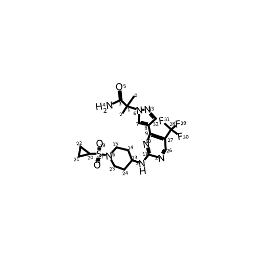 CC(C)(C(N)=O)n1cc(-c2nc(NC3CCN(S(=O)(=O)C4CC4)CC3)ncc2C(F)(F)F)cn1